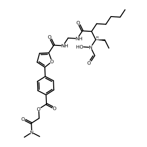 CCCCCC(C(=O)NCNC(=O)c1ccc(-c2ccc(C(=O)OCC(=O)N(C)C)cc2)o1)[C@@H](CC)N(O)C=O